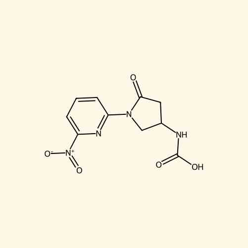 O=C(O)NC1CC(=O)N(c2cccc([N+](=O)[O-])n2)C1